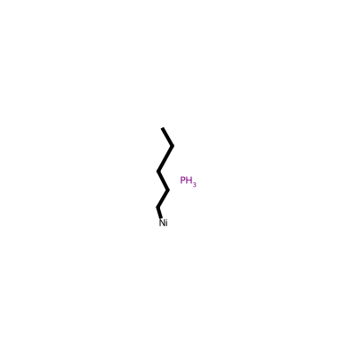 CCCC[CH2][Ni].P